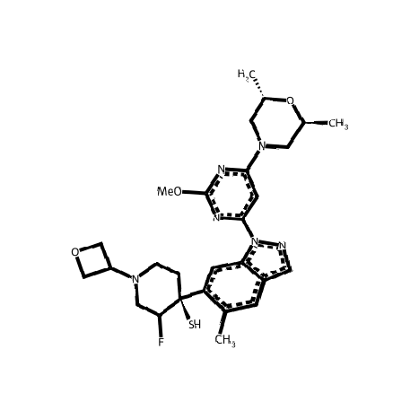 COc1nc(N2C[C@H](C)O[C@@H](C)C2)cc(-n2ncc3cc(C)c([C@@]4(S)CCN(C5COC5)CC4F)cc32)n1